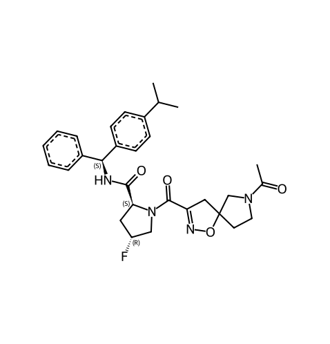 CC(=O)N1CCC2(CC(C(=O)N3C[C@H](F)C[C@H]3C(=O)N[C@@H](c3ccccc3)c3ccc(C(C)C)cc3)=NO2)C1